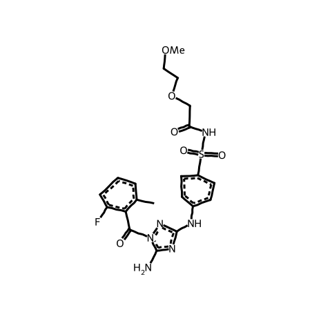 COCCOCC(=O)NS(=O)(=O)c1ccc(Nc2nc(N)n(C(=O)c3c(C)cccc3F)n2)cc1